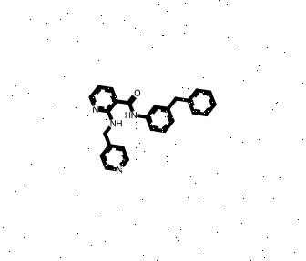 O=C(Nc1cccc(Cc2ccccc2)c1)c1cccnc1NCc1ccncc1